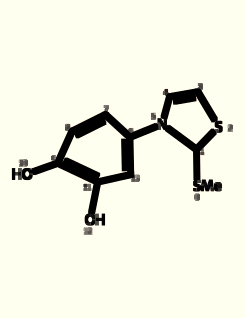 [CH2]SC1SC=CN1c1ccc(O)c(O)c1